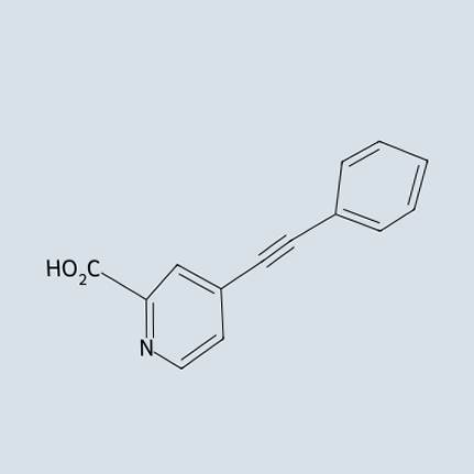 O=C(O)c1cc(C#Cc2ccccc2)ccn1